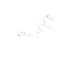 CC(CNC(=O)CC(C)(C)CCC(C)(C)C)NCc1cccc(C#N)c1